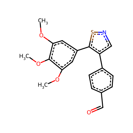 COc1cc(-c2sncc2-c2ccc(C=O)cc2)cc(OC)c1OC